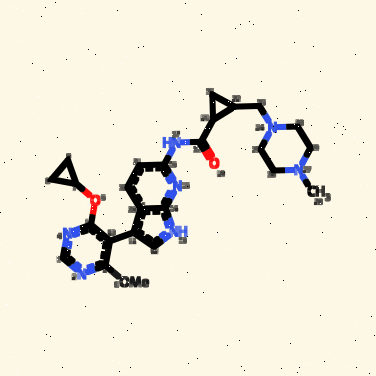 COc1ncnc(OC2CC2)c1-c1c[nH]c2nc(NC(=O)C3CC3CN3CCN(C)CC3)ccc12